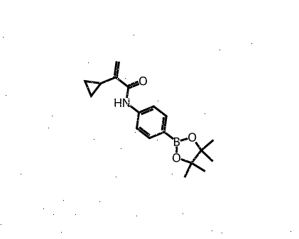 C=C(C(=O)Nc1ccc(B2OC(C)(C)C(C)(C)O2)cc1)C1CC1